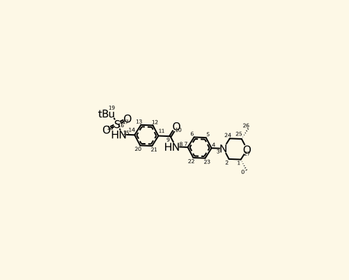 C[C@@H]1CN(c2ccc(NC(=O)c3ccc(NS(=O)(=O)C(C)(C)C)cc3)cc2)C[C@H](C)O1